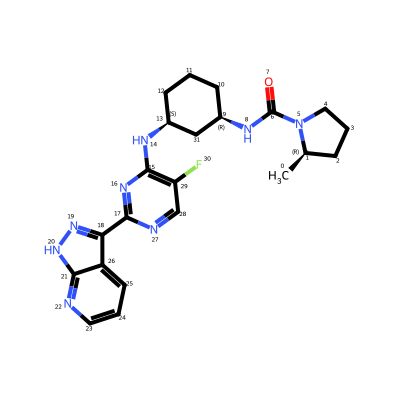 C[C@@H]1CCCN1C(=O)N[C@@H]1CCC[C@H](Nc2nc(-c3n[nH]c4ncccc34)ncc2F)C1